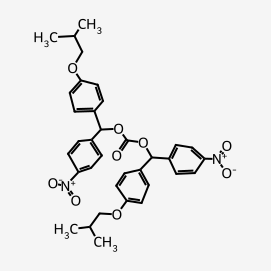 CC(C)COc1ccc(C(OC(=O)OC(c2ccc(OCC(C)C)cc2)c2ccc([N+](=O)[O-])cc2)c2ccc([N+](=O)[O-])cc2)cc1